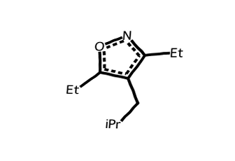 CCc1noc(CC)c1CC(C)C